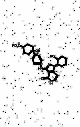 N#CC1CCCCC1n1nc(Nc2ccc(C3(O)CCC(C(=O)O)CC3)cc2)c2c(=O)[nH]ccc21